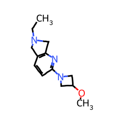 CCN1Cc2ccc(N3CC(OC)C3)nc2C1